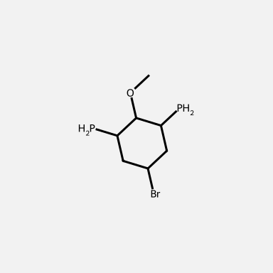 COC1C(P)CC(Br)CC1P